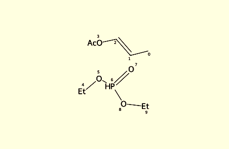 CC=COC(C)=O.CCO[PH](=O)OCC